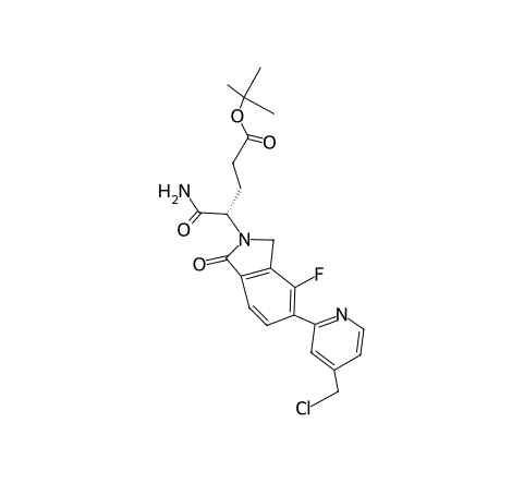 CC(C)(C)OC(=O)CC[C@@H](C(N)=O)N1Cc2c(ccc(-c3cc(CCl)ccn3)c2F)C1=O